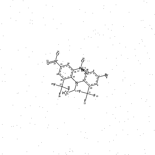 CCN(c1c(Br)cc(Br)cc1C(F)(F)F)c1c([N+](=O)[O-])cc([N+](=O)[O-])cc1C(F)(F)F